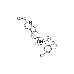 CC(C)(CC(O)(Cc1cc2nc(C=O)ccc2[nH]1)C(F)(F)F)c1cc(Cl)cc2c1OCC2